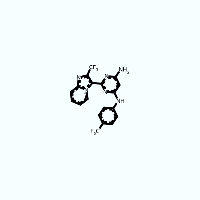 Nc1cc(Nc2ccc(C(F)(F)F)cc2)nc(-c2c(C(F)(F)F)nc3ccccn23)n1